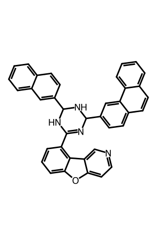 c1ccc2cc(C3NC(c4cccc5oc6ccncc6c45)=NC(c4ccc5ccc6ccccc6c5c4)N3)ccc2c1